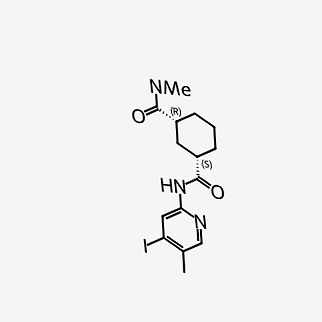 CNC(=O)[C@@H]1CCC[C@H](C(=O)Nc2cc(I)c(C)cn2)C1